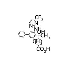 Cc1cc(-c2ccccc2)cc(Nc2nccc(C(F)(F)F)n2)c1C(C)(O)C1CCC(C(=O)O)CC1